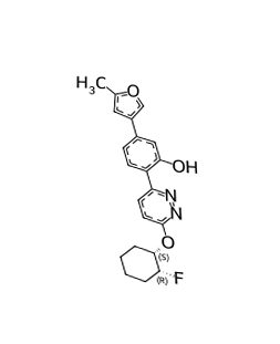 Cc1cc(-c2ccc(-c3ccc(O[C@H]4CCCC[C@H]4F)nn3)c(O)c2)co1